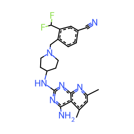 Cc1cc(C)c2c(N)nc(NC3CCN(Cc4ccc(C#N)cc4C(F)F)CC3)nc2n1